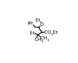 CCOC(=O)C(C(CC(C)C)OCC)C(C)(C)CC